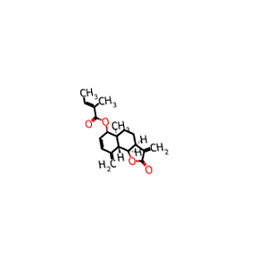 C=C1C(=O)O[C@@H]2[C@H]1CC[C@]1(C)[C@H](OC(=O)/C(C)=C/C)C=CC(=C)[C@@H]21